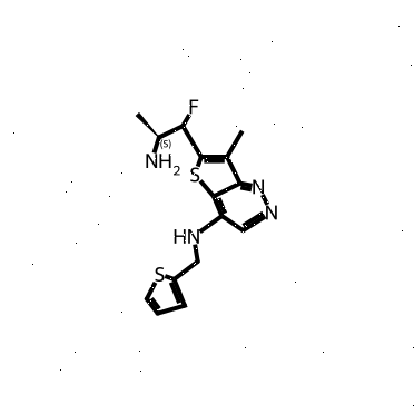 Cc1c(C(F)[C@H](C)N)sc2c(NCc3cccs3)cnnc12